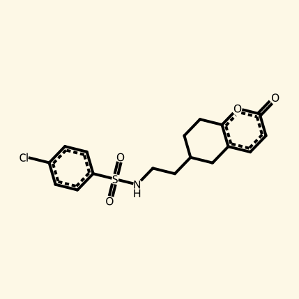 O=c1ccc2c(o1)CCC(CCNS(=O)(=O)c1ccc(Cl)cc1)C2